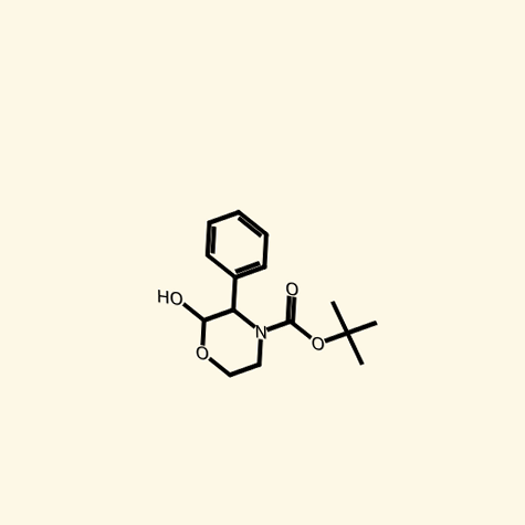 CC(C)(C)OC(=O)N1CCOC(O)C1c1ccccc1